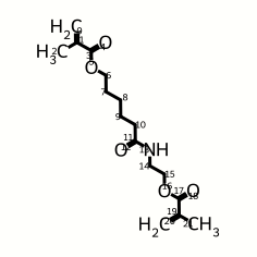 C=C(C)C(=O)OCCCCCC(=O)NCCOC(=O)C(=C)C